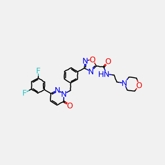 O=C(NCCN1CCOCC1)c1nc(-c2cccc(Cn3nc(-c4cc(F)cc(F)c4)ccc3=O)c2)no1